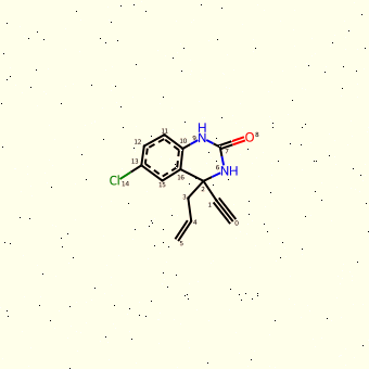 C#CC1(CC=C)NC(=O)Nc2ccc(Cl)cc21